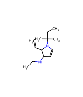 C=CC1C(NCC)C=CN1C(C)(C)CC